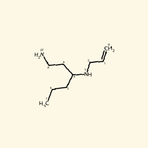 C=CCNC(CCC)CCN